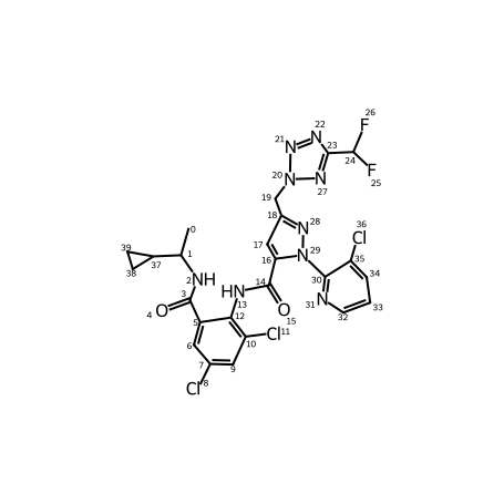 CC(NC(=O)c1cc(Cl)cc(Cl)c1NC(=O)c1cc(Cn2nnc(C(F)F)n2)nn1-c1ncccc1Cl)C1CC1